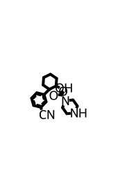 N#Cc1cccc(C2(OC(=O)N3CCNCC3)CCCCC2O)c1